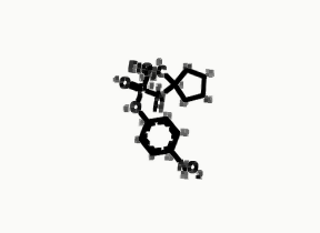 CCOC(=O)C1(NP(=O)(Cl)Oc2ccc([N+](=O)[O-])cc2)CCCC1